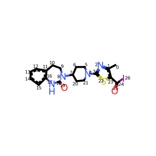 Cc1nc(N2CCC(N3CCc4ccccc4NC3=O)CC2)sc1C(=O)I